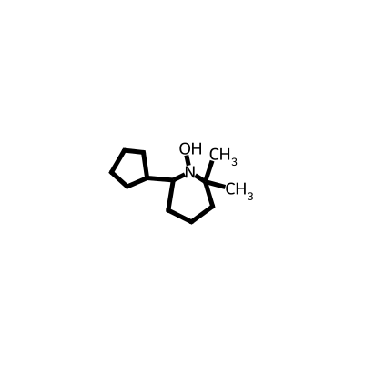 CC1(C)CCCC(C2CCCC2)N1O